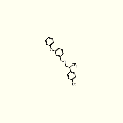 CCc1ccc(C(COCc2cccc(Oc3ccccc3)c2)C(F)(F)F)cc1